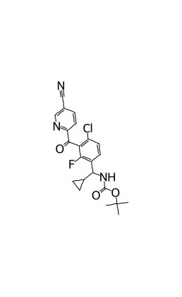 CC(C)(C)OC(=O)NC(c1ccc(Cl)c(C(=O)c2ccc(C#N)cn2)c1F)C1CC1